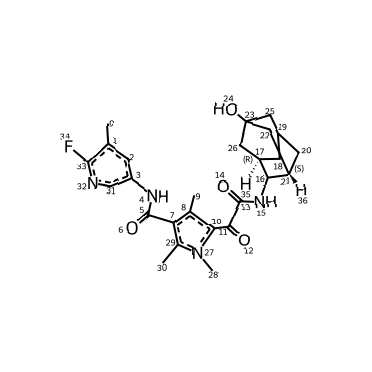 Cc1cc(NC(=O)c2c(C)c(C(=O)C(=O)NC3[C@@H]4CC5C[C@H]3CC(O)(C5)C4)n(C)c2C)cnc1F